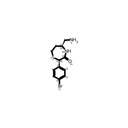 NC[C@@H]1CCS[C@H](c2ccc(Br)cc2)C(=O)N1